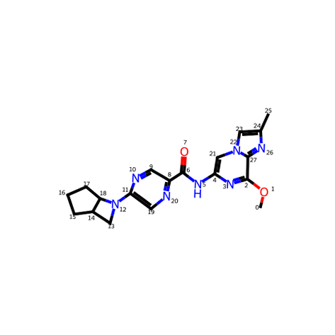 COc1nc(NC(=O)c2cnc(N3CC4CCCC43)cn2)cn2cc(C)nc12